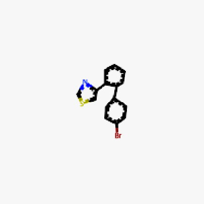 Brc1ccc(-c2ccccc2-c2cscn2)cc1